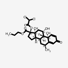 CCCOC(=O)[C@@]1(OC(=O)C(Cl)Cl)CC[C@H]2[C@@H]3C[C@H](C)C4=CC(=O)C=C[C@]4(C)[C@@]3(F)[C@@H](O)C[C@@]21C